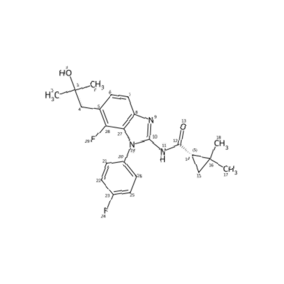 CC(C)(O)Cc1ccc2nc(NC(=O)[C@H]3CC3(C)C)n(-c3ccc(F)cc3)c2c1F